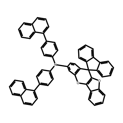 c1ccc2c(c1)-c1ccccc1C21c2ccc(N(c3ccc(-c4cccc5ccccc45)cc3)c3ccc(-c4cccc5ccccc45)cc3)cc2Oc2c1oc1ccccc21